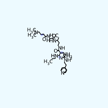 C=C(/N=C(NCCC)\C(=C/N)C(=O)NCCC(CC)NC(=O)CNC(=O)/C=C/CN(C)C)NCCc1ccncc1